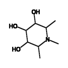 CC1C(O)C(O)C(O)C(C)N1C